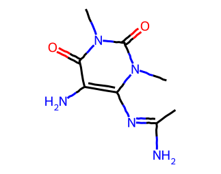 C/C(N)=N\c1c(N)c(=O)n(C)c(=O)n1C